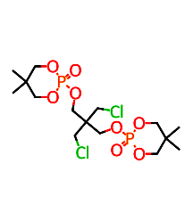 CC1(C)COP(=O)(OCC(CCl)(CCl)COP2(=O)OCC(C)(C)CO2)OC1